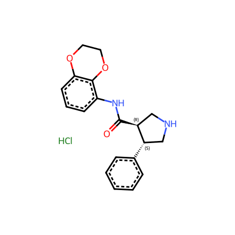 Cl.O=C(Nc1cccc2c1OCCO2)[C@H]1CNC[C@@H]1c1ccccc1